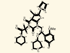 COc1ccc(F)cc1[C@H](Cn1c(=O)n(C(C)(C)C(=O)N2CCCCC2)c(=O)c2c(C)c(-n3cccn3)sc21)OC1CCOCC1